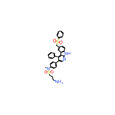 CN(c1ccc(-c2cnc3[nH]c4ccc(CS(=O)(=O)c5ccccc5)cc4c3c2-c2ccccc2)cc1)S(=O)(=O)CCCN